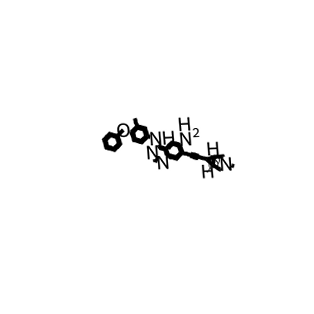 Cc1cc(Nc2ncnc3cc(C#CC4[C@H]5CN(C)C[C@@H]45)c(N)cc23)ccc1Oc1ccccc1